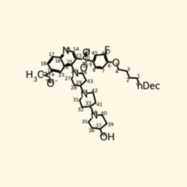 CCCCCCCCCCCCCCOc1ccc(S(=O)(=O)c2cnc3ccc([S+](C)[O-])cc3c2N2CCC(N3CCC(N4CCC(O)CC4)CC3)CC2)cc1F